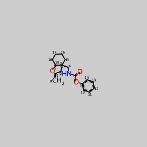 C=CC[C@]1(CNC(=O)Oc2ccccc2)CCCCC1=O